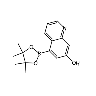 CC1(C)OB(c2cc(O)cc3ncccc23)OC1(C)C